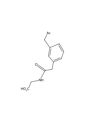 CC(=O)Cc1cccc(CC(=O)NCC(=O)O)c1